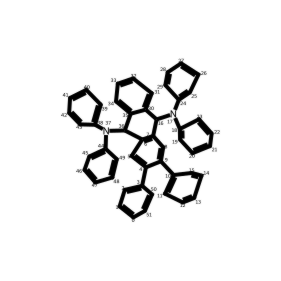 c1ccc(-c2cc3c(cc2-c2ccccc2)C(N(c2ccccc2)c2ccccc2)c2ccccc2C3N(c2ccccc2)c2ccccc2)cc1